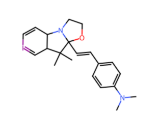 CN(C)c1ccc(C=CC23OCCN2C2C=CI=CC2C3(C)C)cc1